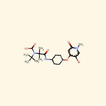 Cn1cc(Br)c(OC2CCC(NC(=O)C(C)(C)N(C(=O)O)C(C)(C)C)CC2)cc1=O